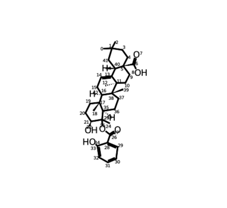 CC1(C)CC[C@]2(C(=O)O)CC[C@]3(C)C(=CC[C@@H]4[C@@]5(C)CC[C@H](O)C(C)(OC(=O)c6ccccc6O)[C@@H]5CC[C@]43C)[C@@H]2C1